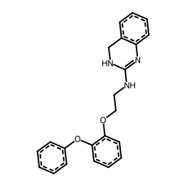 c1ccc(Oc2ccccc2OCCNC2=Nc3ccccc3CN2)cc1